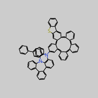 c1ccc(-c2ccc(N(c3ccc4c(c3)c3ccccc3c3ccccc3c3ccccc3c3cc5c(cc43)sc3ccccc35)c3cccc4c3N(c3ccccc3)c3ccccc3-c3ccccc3-4)cc2)cc1